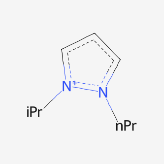 CCCn1ccc[n+]1C(C)C